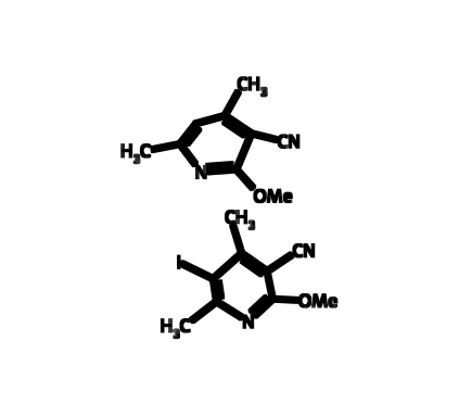 COc1nc(C)c(I)c(C)c1C#N.COc1nc(C)cc(C)c1C#N